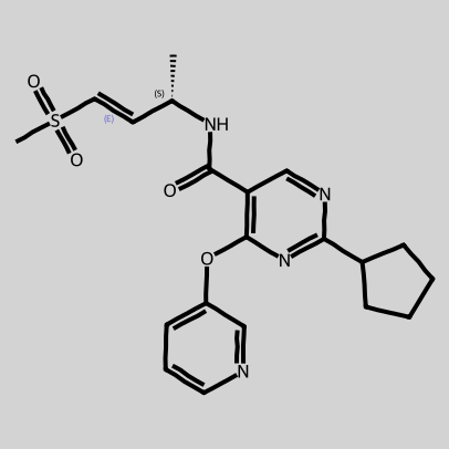 C[C@@H](/C=C/S(C)(=O)=O)NC(=O)c1cnc(C2CCCC2)nc1Oc1cccnc1